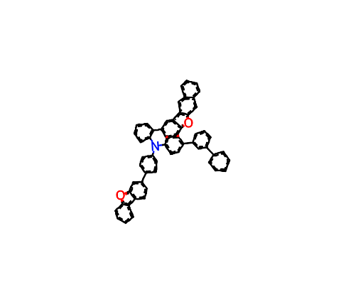 c1ccc(-c2cccc(-c3ccc(N(c4ccc(-c5ccc6c(c5)oc5ccccc56)cc4)c4ccccc4-c4ccc5oc6cc7ccccc7cc6c5c4)cc3)c2)cc1